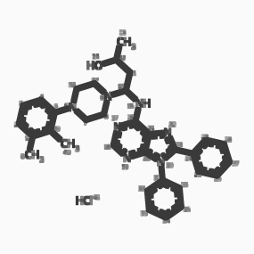 Cc1cccc(N2CCN(C(CC(C)O)Nc3ncnc4c3nc(-c3ccccc3)n4-c3ccccc3)CC2)c1C.Cl